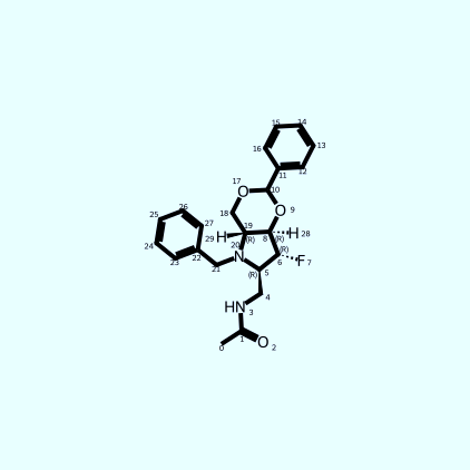 CC(=O)NC[C@@H]1[C@@H](F)[C@@H]2OC(c3ccccc3)OC[C@H]2N1Cc1ccccc1